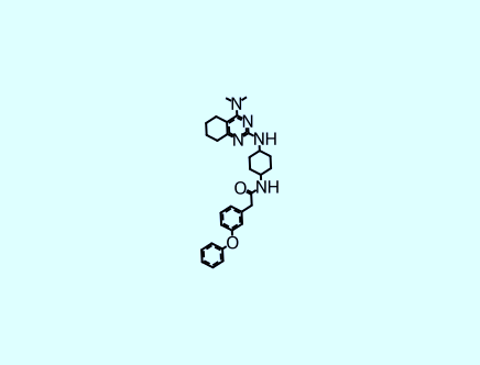 CN(C)c1nc(NC2CCC(NC(=O)Cc3cccc(Oc4ccccc4)c3)CC2)nc2c1CCCC2